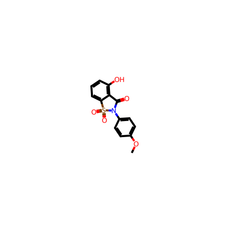 COc1ccc(N2C(=O)c3c(O)cccc3S2(=O)=O)cc1